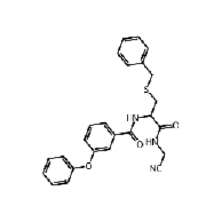 N#CCNC(=O)C(CSCc1ccccc1)NC(=O)c1cccc(Oc2ccccc2)c1